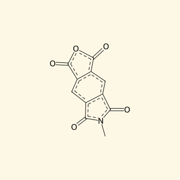 Cn1c(=O)c2cc3c(=O)oc(=O)c3cc2c1=O